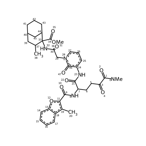 CNC(=O)C(=O)CCC(NC(=O)c1oc2ccccc2c1C)C(=O)Nc1cccn(CC(=O)NC2(C(=O)OC)C(C)CC3CCCC2C3)c1=O